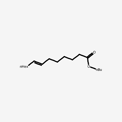 CCCCCCC=CCCCCCC(=O)OCCCC